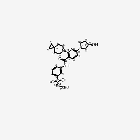 CC(C)(C)NS(=O)(=O)c1cccc(NC(=O)c2ccc(N3CC[C@@H](O)C3)nc2N2CCC3(CC2)CC3)c1